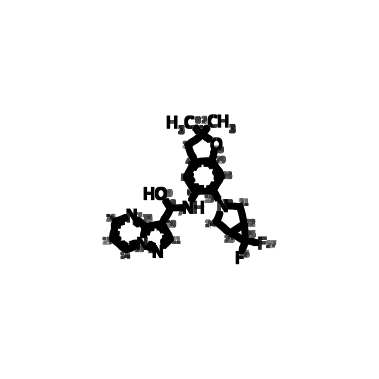 CC1(C)Cc2cc(NC(O)c3cnn4cccnc34)c(N3CC4C(C3)C4(F)F)cc2O1